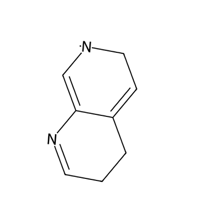 C1=NC2=C[N]CC=C2CC1